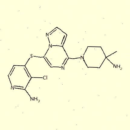 CC1(N)CCN(c2ncc(Sc3ccnc(N)c3Cl)n3nccc23)CC1